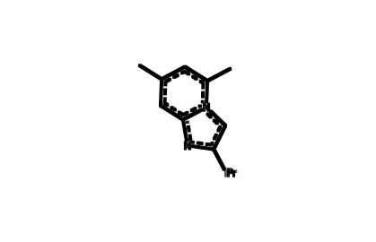 Cc1cc(C)n2cc(C(C)C)nc2c1